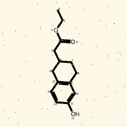 CCOC(=O)CC1CCc2cc(O)ccc2C1